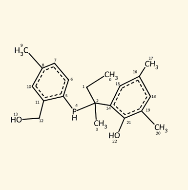 CCC(C)(Pc1ccc(C)cc1CO)c1cc(C)cc(C)c1O